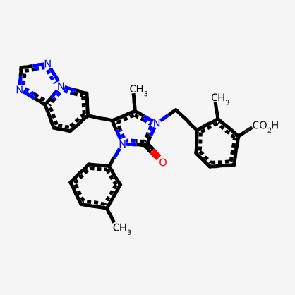 Cc1cccc(-n2c(-c3ccc4ncnn4c3)c(C)n(Cc3cccc(C(=O)O)c3C)c2=O)c1